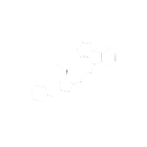 O=C(O)[C@@H]1C[C@@H](OC2CCCCO2)CN1C(=O)OCn1c2ccccc2c2ccccc21